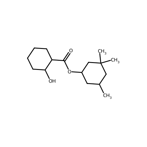 CC1CC(OC(=O)C2CCCCC2O)CC(C)(C)C1